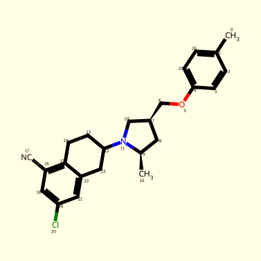 Cc1ccc(OC[C@H]2C[C@@H](C)N(C3CCc4c(C#N)cc(Cl)cc4C3)C2)cc1